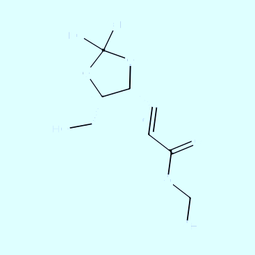 CCOC(=O)/C=C/[C@H]1OC(C)(C)O[C@H]1CO